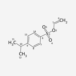 C=COS(=O)(=O)c1ccc(C(C)C)cc1